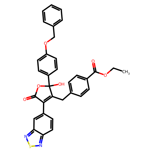 CCOC(=O)c1ccc(CC2=C(c3ccc4nsnc4c3)C(=O)OC2(O)c2ccc(OCc3ccccc3)cc2)cc1